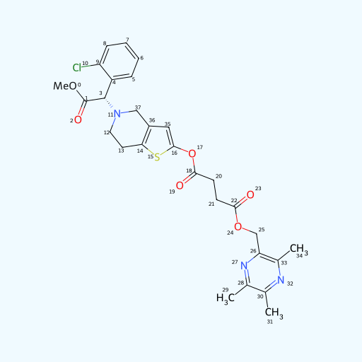 COC(=O)[C@H](c1ccccc1Cl)N1CCc2sc(OC(=O)CCC(=O)OCc3nc(C)c(C)nc3C)cc2C1